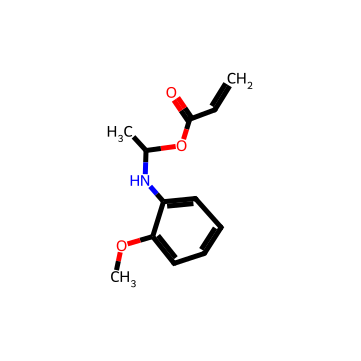 C=CC(=O)OC(C)Nc1ccccc1OC